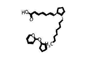 C1=COC(OC2C=CCC2)C=C1.CCCCCCCC[C@H]1CCC[C@@H]1C=CC=CC=CC(=O)O